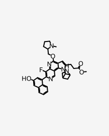 COC(=O)CCc1cc2c(OCC3CCCN3C)nc3c(F)c(-c4cc(O)cc5ccccc45)ncc3c2n1C1C2CNC1C2